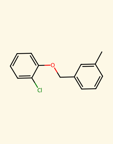 Cc1cccc(COc2ccccc2Cl)c1